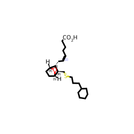 O=C(O)CCC/C=C\C[C@@H]1[C@@H](CSCCCC2CCCCC2)[C@@H]2CC[C@H]1O2